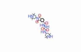 CC1(C)CC(NC(=O)C(=O)NNC(=O)c2ccc3c(c2)C(=O)N(C2CC(C)(C)NC(C)(C)C2)C3=O)CC(C)(C)N1